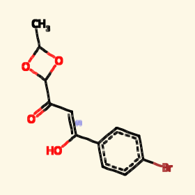 CC1OC(C(=O)/C=C(\O)c2ccc(Br)cc2)O1